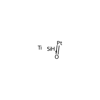 [O]=[Pt].[SiH4].[Ti]